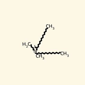 C=CCCCN(CC(C)CCCCCCCCCCCCCC)CC(I)CCCCCCCCCCCCCC